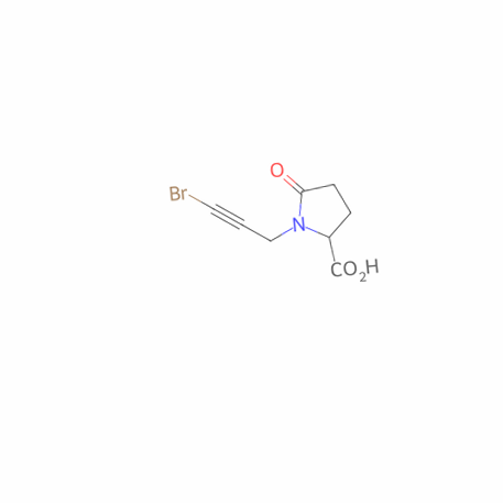 O=C(O)C1CCC(=O)N1CC#CBr